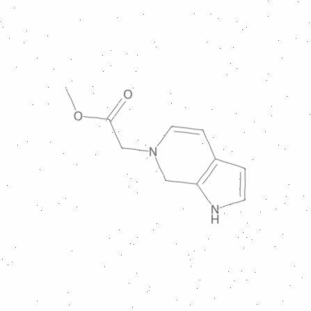 COC(=O)CN1C=Cc2cc[nH]c2C1